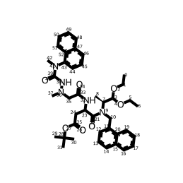 CCOC(OCC)[C@H](C)N(Cc1cccc2ccccc12)C(=O)C(CC(=O)OC(C)(C)C)NC(=O)CN(C)NC(=O)N(C)c1cccc2ccccc12